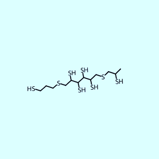 CC(S)CSCC(S)C(S)C(S)C(S)CSCCCS